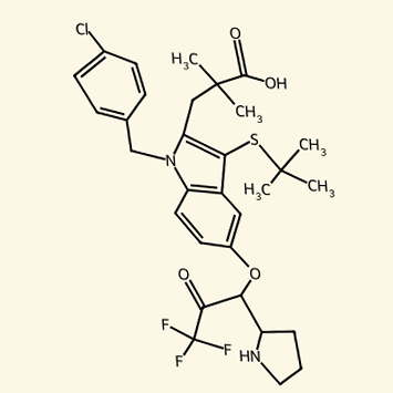 CC(C)(C)Sc1c(CC(C)(C)C(=O)O)n(Cc2ccc(Cl)cc2)c2ccc(OC(C(=O)C(F)(F)F)C3CCCN3)cc12